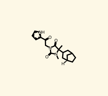 CN1C(=O)N(CC(=O)c2ccc[nH]2)C(=O)C1(C)C1CC2CC[C@@H](C2)C1